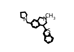 CN1Cc2cc(CN3CCCC3)ccc2C(c2cc3ccccc3s2)C1